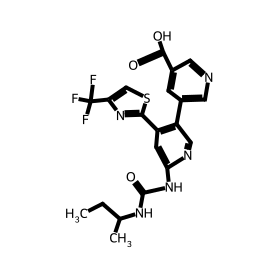 CCC(C)NC(=O)Nc1cc(-c2nc(C(F)(F)F)cs2)c(-c2cncc(C(=O)O)c2)cn1